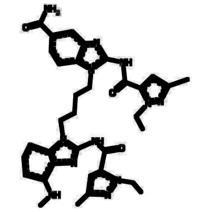 CCn1nc(C)cc1C(=O)Nc1nc2cc(C(N)=O)ccc2n1CCCCn1c(NC(=O)c2cc(C)nn2CC)nc2c(NC)cccc21